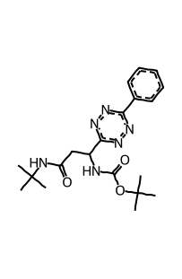 CC(C)(C)NC(=O)CC(NC(=O)OC(C)(C)C)c1nnc(-c2ccccc2)nn1